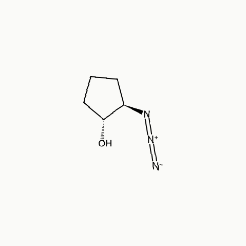 [N-]=[N+]=N[C@@H]1CCC[C@H]1O